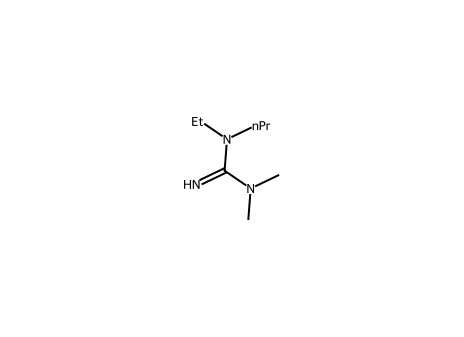 CCCN(CC)C(=N)N(C)C